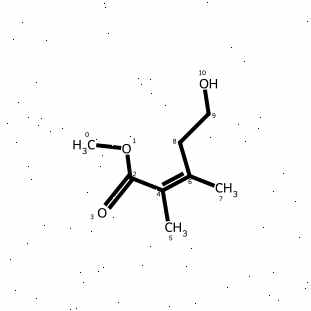 COC(=O)C(C)=C(C)CCO